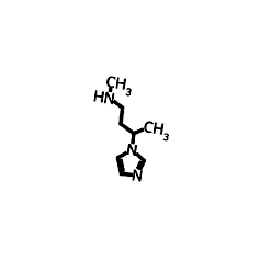 CNCCC(C)n1ccnc1